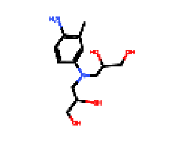 Cc1cc(N(CC(O)CO)CC(O)CO)ccc1N